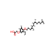 CCc1cc(OCC(=O)O)cc(C)c1OCCC[C@H](C)CCC[C@H](C)CCCC(C)C